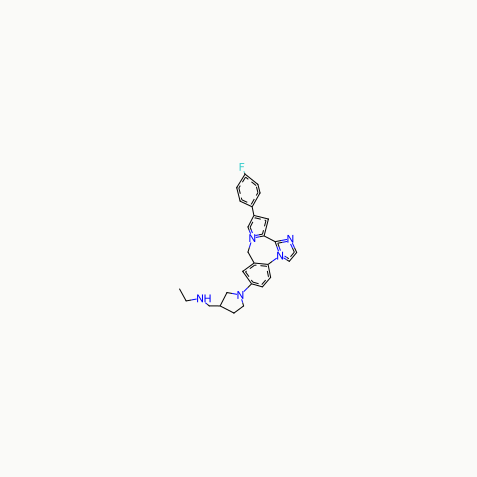 CCNCC1CCN(c2ccc3c(c2)Cn2cc(-c4ccc(F)cc4)cc2-c2nccn2-3)C1